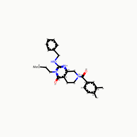 COCCn1c(NCc2ccccc2)nc2c(c1=O)CCN(C(=O)c1ccc(C)c(C)c1)C2